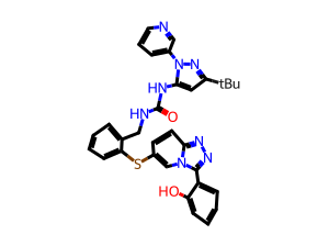 CC(C)(C)c1cc(NC(=O)NCc2ccccc2Sc2ccc3nnc(-c4ccccc4O)n3c2)n(-c2cccnc2)n1